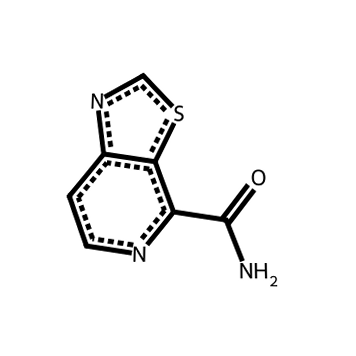 NC(=O)c1nccc2ncsc12